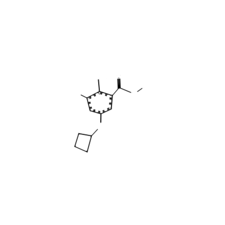 COC(=O)c1cc(OC2CCC2)cc(O)c1C